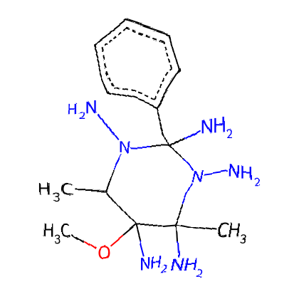 COC1(N)C(C)N(N)C(N)(c2ccccc2)N(N)C1(C)N